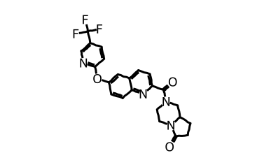 O=C(c1ccc2cc(Oc3ccc(C(F)(F)F)cn3)ccc2n1)N1CCN2C(=O)CCC2C1